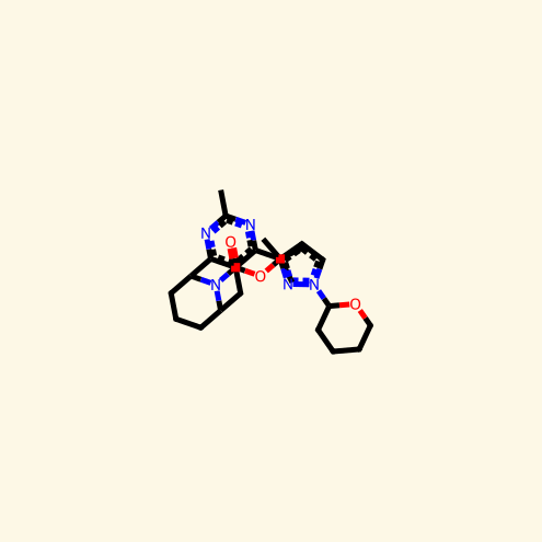 Cc1nc(-c2ccn(C3CCCCO3)n2)c2c(n1)C1CCCC(C2)N1C(=O)OC(C)(C)C